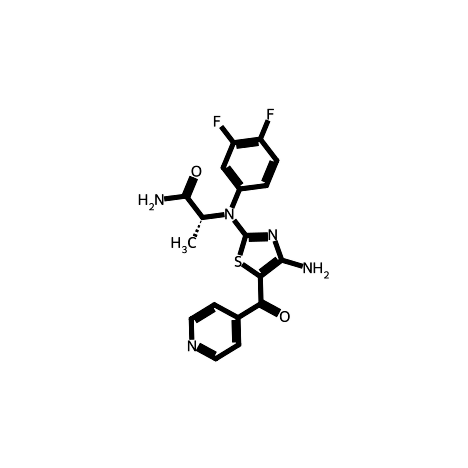 C[C@H](C(N)=O)N(c1ccc(F)c(F)c1)c1nc(N)c(C(=O)c2ccncc2)s1